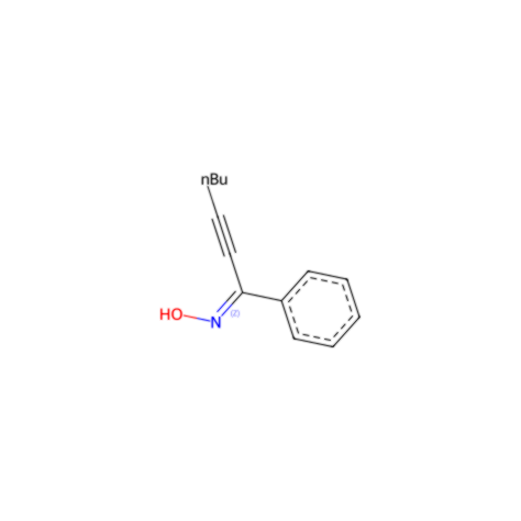 CCCCC#C/C(=N\O)c1ccccc1